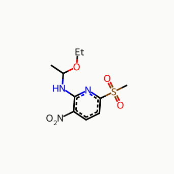 CCOC(C)Nc1nc(S(C)(=O)=O)ccc1[N+](=O)[O-]